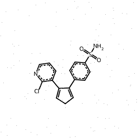 NS(=O)(=O)c1ccc(C2=CCC=C2c2cccnc2Cl)cc1